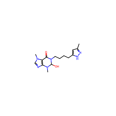 Cc1cc(CCCCN2C(=O)c3c(ncn3C)N(C)C2O)[nH]n1